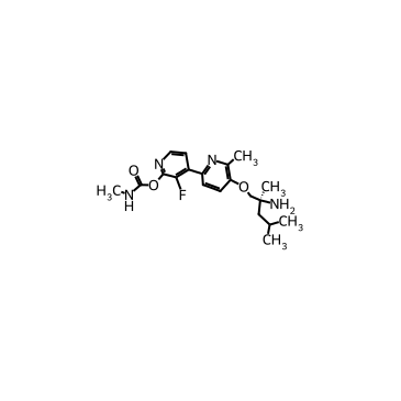 CNC(=O)Oc1nccc(-c2ccc(OC[C@@](C)(N)CC(C)C)c(C)n2)c1F